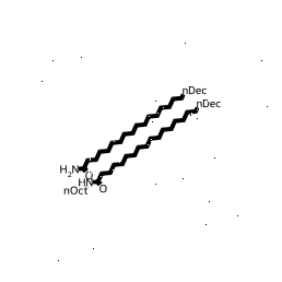 CCCCCCCCCCCCCCCCCCCCCCCCCCC(=O)NCCCCCCCC.CCCCCCCCCCCCCCCCCCCCCCCCCCC(N)=O